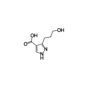 O=C(O)c1c[nH]nc1CCCO